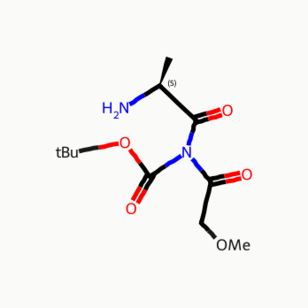 COCC(=O)N(C(=O)OC(C)(C)C)C(=O)[C@H](C)N